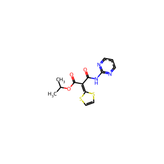 CC(C)OC(=O)C(C(=O)Nc1ncccn1)=C1SC=CS1